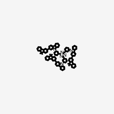 CC1(C)c2ccccc2-c2cc(-c3ccc4c5ccccc5n(-c5cccc(-c6nc(-c7cccc(-n8c9ccccc9c9ccc(-c%10ccc%11c(c%10)-c%10ccccc%10C%11(C)C)cc98)c7)nc(-c7cccc(-n8c9ccccc9c9ccc(-c%10ccc%11c(c%10)-c%10ccccc%10C%11(C)C)cc98)c7)n6)c5)c4c3)ccc21